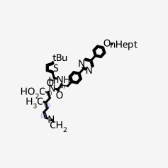 C=N/C=C\C=C(/C)C[C@H](NC(=O)[C@H](Cc1ccc(-c2ncc(-c3ccc(OCCCCCCC)cc3)cn2)cc1)NC(=O)c1ccc(C(C)(C)C)s1)C(=O)O